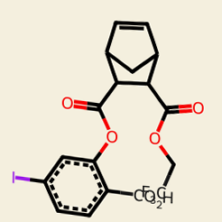 O=C(O)c1ccc(I)cc1OC(=O)C1C2C=CC(C2)C1C(=O)OCC(F)(F)F